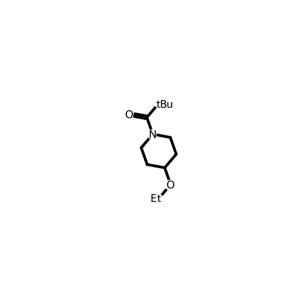 CCOC1CCN(C(=O)C(C)(C)C)CC1